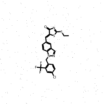 CCSC1=NC(=O)C(=Cc2ccc3c(cnn3Cc3ccc(Cl)cc3C(F)(F)F)c2)S1